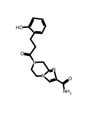 NC(=O)c1cn2c(n1)CN(C(=O)CCc1ccccc1O)CC2